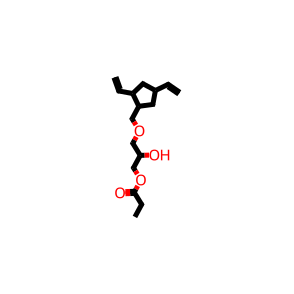 C=CC1CC(C=C)C(COCC(O)COC(=O)CC)C1